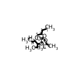 CCCC(CC)OP(=O)(OC(C)C)OC(CC)CCC